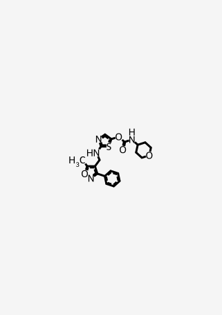 Cc1onc(-c2ccccc2)c1CNc1ncc(OC(=O)NC2CCOCC2)s1